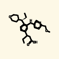 CCC(CC(=O)O)c1ccc([C@@H](CC)C2CCOCC2)c(Nc2ccc(COC)nc2)c1